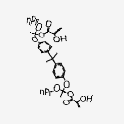 C=C(O)C(=O)OC(C)(OCCC)Oc1ccc(C(C)(C)c2ccc(OC(C)(OCCC)OC(=O)C(=C)O)cc2)cc1